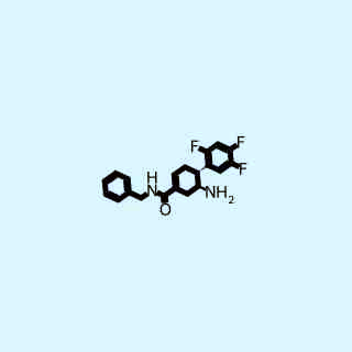 N[C@H]1CC(C(=O)NCc2ccccc2)=CC[C@@H]1c1cc(F)c(F)cc1F